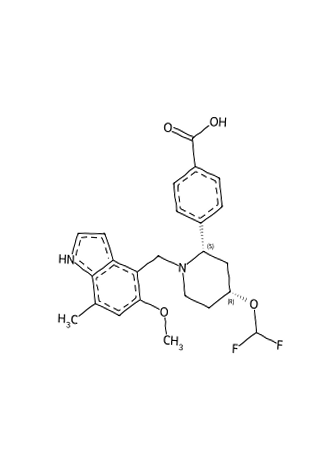 COc1cc(C)c2[nH]ccc2c1CN1CC[C@@H](OC(F)F)C[C@H]1c1ccc(C(=O)O)cc1